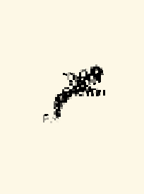 CC(C)(C)OC(=O)C(CCn1nnc2ccccc2c1=O)(CC(=O)c1cc2cc(OCCCC(F)(F)F)ccc2o1)C(=O)OC(C)(C)C